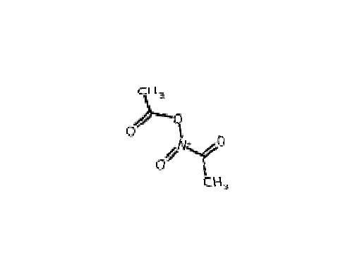 CC(=O)O[N+](=O)C(C)=O